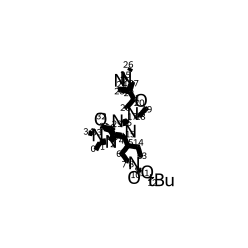 Cc1nc2c(C3CCN(C(=O)OC(C)(C)C)CC3)nc(N3CCOC(c4cnn(C)c4)C3)nc2c(=O)n1C